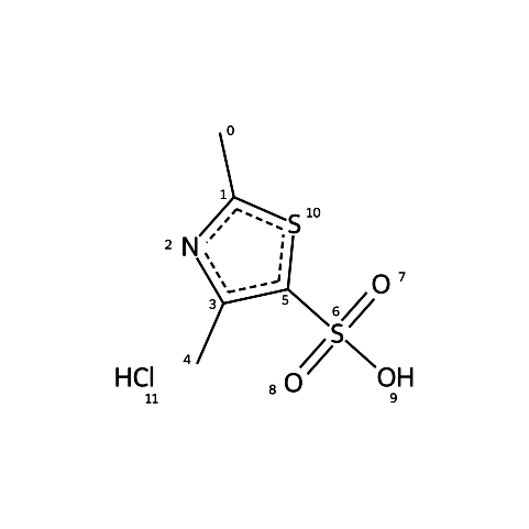 Cc1nc(C)c(S(=O)(=O)O)s1.Cl